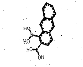 OB(O)c1ccc2cc3ccccc3cc2c1B(O)O